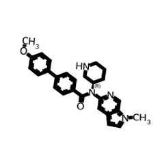 COc1ccc(-c2ccc(C(=O)N(c3cc4ccn(C)c4cn3)[C@@H]3CCCNC3)cc2)cc1